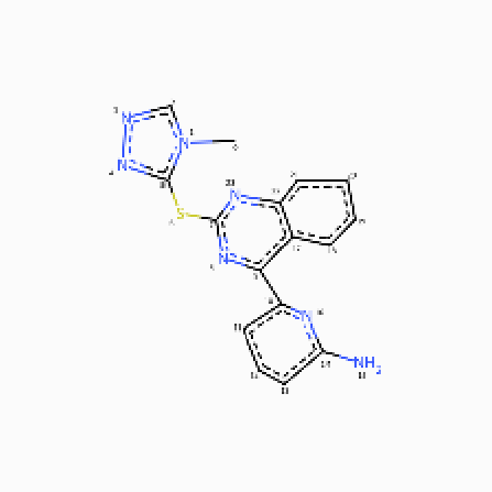 Cn1cnnc1Sc1nc(-c2cccc(N)n2)c2ccccc2n1